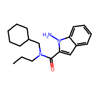 CCCN(CC1CCCCC1)C(=O)c1cc2ccccc2n1N